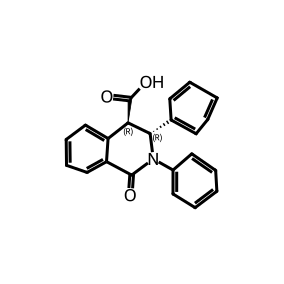 O=C(O)[C@@H]1c2ccccc2C(=O)N(c2ccccc2)[C@H]1c1ccccc1